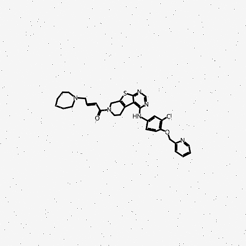 O=C(/C=C/CN1CCCCCC1)N1CCc2c(sc3ncnc(Nc4ccc(OCc5ccccn5)c(Cl)c4)c23)C1